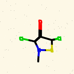 CN1SC(Cl)C(=O)C1Cl